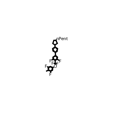 CCCCCC1CCC(c2ccc(-c3cc(F)c(C(F)(F)Oc4cc(F)c(C)c(F)c4)c(F)c3)cc2)C1